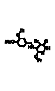 CCOc1cc(CNc2c(OC(C)C)n[nH]c(=O)c2Br)ccc1OC